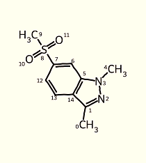 Cc1nn(C)c2cc(S(C)(=O)=O)ccc12